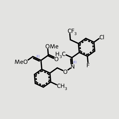 CO/C=C(/C(=O)OC)c1cccc(C)c1CO/N=C(\C)c1c(F)cc(Cl)cc1CC(F)(F)F